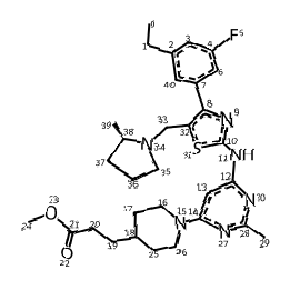 CCc1cc(F)cc(-c2nc(Nc3cc(N4CCC(CCC(=O)OC)CC4)nc(C)n3)sc2CN2CCC[C@H]2C)c1